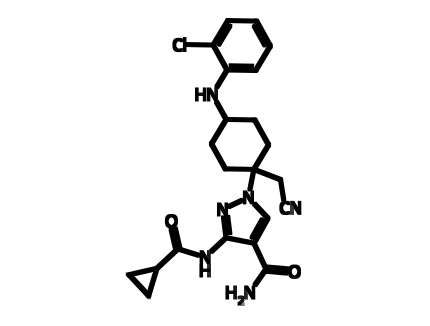 N#CCC1(n2cc(C(N)=O)c(NC(=O)C3CC3)n2)CCC(Nc2ccccc2Cl)CC1